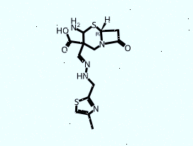 Cc1csc(CNN=CC2(C(=O)O)CN3C(=O)C[C@H]3SC2N)n1